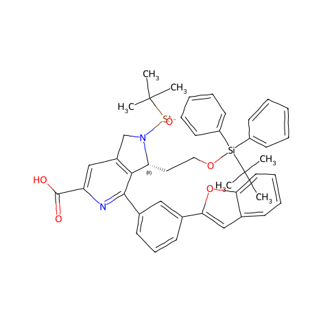 CC(C)(C)[S+]([O-])N1Cc2cc(C(=O)O)nc(-c3cccc(-c4cc5ccccc5o4)c3)c2[C@H]1CCO[Si](c1ccccc1)(c1ccccc1)C(C)(C)C